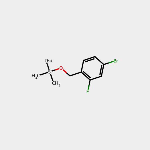 CC(C)(C)[Si](C)(C)OCc1ccc(Br)cc1F